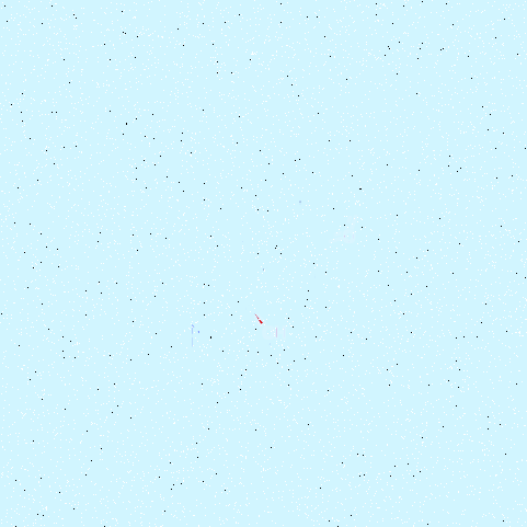 CCNC[C@H](O)c1ccc2ccoc2c1